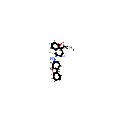 C=C(/C=C\c1c(C)oc2ccccc12)Nc1ccc2c(c1)oc1ccccc12